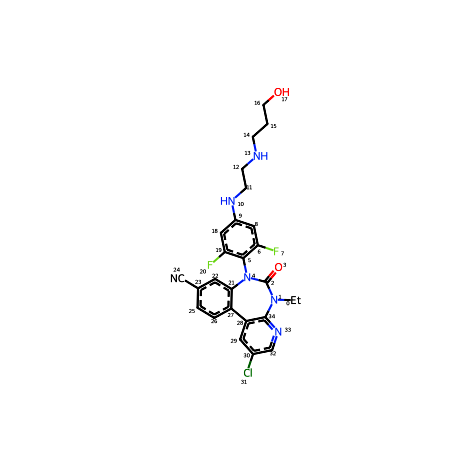 CCN1C(=O)N(c2c(F)cc(NCCNCCCO)cc2F)c2cc(C#N)ccc2-c2cc(Cl)cnc21